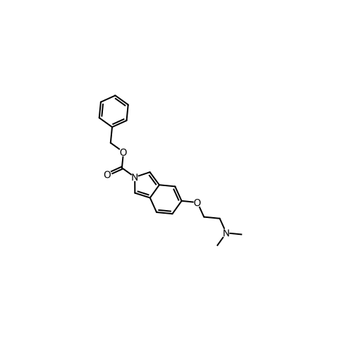 CN(C)CCOc1ccc2cn(C(=O)OCc3ccccc3)cc2c1